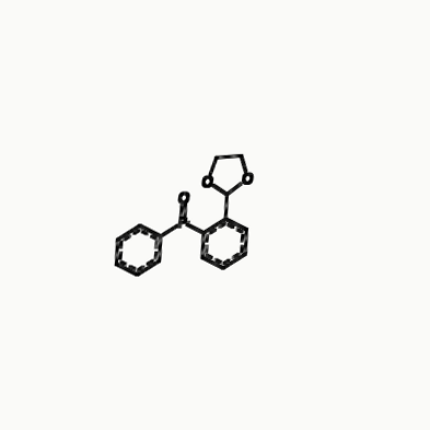 O=[P](c1ccccc1)c1ccccc1C1OCCO1